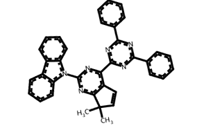 CC1(C)C=Cc2c(-c3nc(-c4ccccc4)nc(-c4ccccc4)n3)nc(-n3c4ccccc4c4ccccc43)nc21